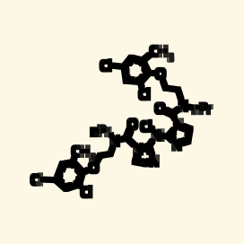 CCCN(CCOc1c(C)cc(Cl)cc1Cl)C(=O)n1ccn[c]1[Ni]([Cl])[c]1nccn1C(=O)N(CCC)CCOc1c(C)cc(Cl)cc1Cl